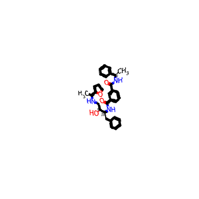 CC(NC[C@@H](O)[C@H](Cc1ccccc1)NC(=O)c1cccc(C(=O)N[C@@H](C)c2ccccc2)c1)c1ccco1